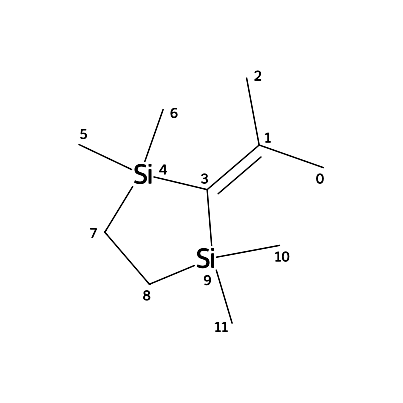 CC(C)=C1[Si](C)(C)CC[Si]1(C)C